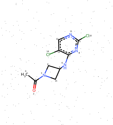 CC(=O)N1CC(Nc2nc(Cl)ncc2Cl)C1